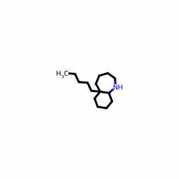 CCCCCC12CCCCNC1CCCC2